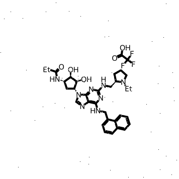 CCC(=O)N[C@H]1C[C@@H](n2cnc3c(NCc4cccc5ccccc45)nc(NC[C@H]4CCCN4CC)nc32)[C@H](O)[C@@H]1O.O=C(O)C(F)(F)F